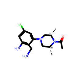 CC(=O)N1[C@H](C)CN(c2cc(Cl)cc(N)c2CN)C[C@@H]1C